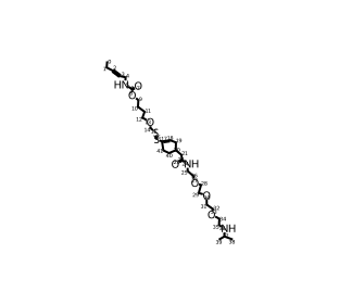 CCC#CCNC(=O)OCCCCOCSSC1=CCC(CC(=O)NCCOCCOCCOCCNC(C)C)CC1